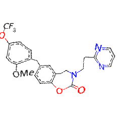 COc1cc(OC(F)(F)F)ccc1-c1ccc2c(c1)CN(CCc1ncccn1)C(=O)O2